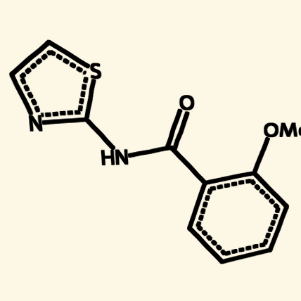 COc1ccccc1C(=O)Nc1nccs1